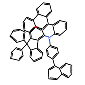 c1ccc(C2(c3ccccc3)c3ccccc3-c3c(N(c4ccc(-c5cccc6ccccc56)cc4)c4ccccc4-c4cc5ccccc5c5ccccc45)cccc32)cc1